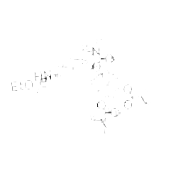 C=C(C)C(=O)OCCC(CCOC(=O)C(=C)C)C(C)(C)OC(=O)N(C)CCCCCCNC(=O)OCC